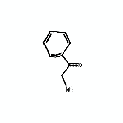 NCC(=O)c1c[c]ccc1